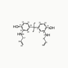 C=CCNc1cc(C(C)(C)c2ccc(O)c(NCC=C)c2)ccc1O